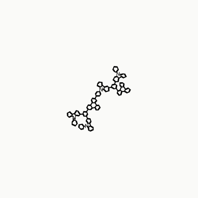 c1ccc(-n2c3ccccc3c3cc(-c4cc(-c5ccc6c(c5)c5ccccc5n6-c5ccc(-c6ccc7c8ccc(-c9cc(-c%10ccc%11c%12ccccc%12n(-c%12ccccc%12)c%11c%10)cc(-c%10ccc%11c%12ccccc%12n(-c%12ccccc%12)c%11c%10)c9)cc8c8ccccc8c7c6)cc5)cc(-c5cccc6c7ccccc7c7ccccc7c56)c4)ccc32)cc1